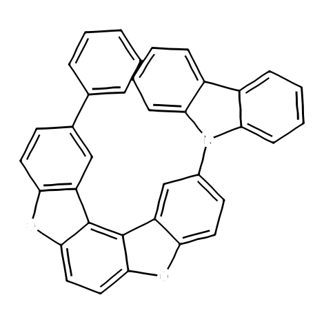 c1ccc(-c2ccc3oc4ccc5oc6ccc(-n7c8ccccc8c8ccccc87)cc6c5c4c3c2)cc1